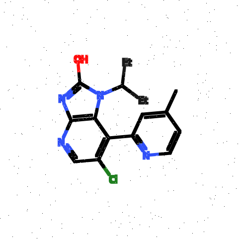 CCC(CC)n1c(O)nc2ncc(Cl)c(-c3cc(C)ccn3)c21